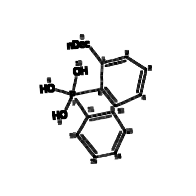 CCCCCCCCCCc1ccccc1P(O)(O)(O)c1ccccc1